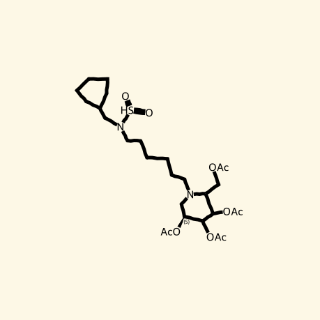 CC(=O)OCC1C(OC(C)=O)C(OC(C)=O)[C@@H](OC(C)=O)CN1CCCCCCN(CC1CCCCC1)[SH](=O)=O